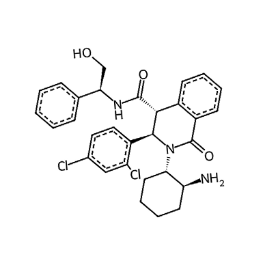 N[C@H]1CCCC[C@@H]1N1C(=O)c2ccccc2[C@@H](C(=O)N[C@H](CO)c2ccccc2)[C@@H]1c1ccc(Cl)cc1Cl